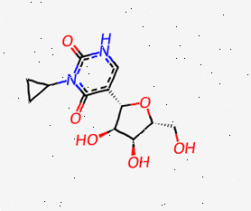 O=c1[nH]cc([C@@H]2O[C@H](CO)[C@@H](O)[C@H]2O)c(=O)n1C1CC1